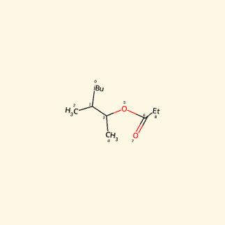 [CH2]CC(C)C(C)C(C)OC(=O)CC